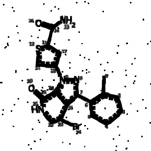 Cc1ccccc1-c1nn(-c2csc(C(N)=O)c2)c2c(=O)[nH]cc(Br)c12